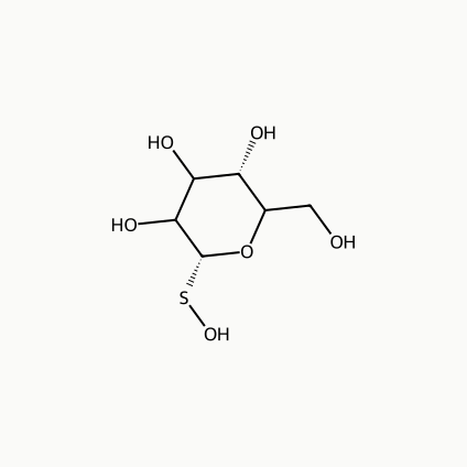 OCC1O[C@H](SO)C(O)C(O)[C@@H]1O